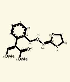 COC=C(C(=O)OC)c1ccccc1CON=C1SCCS1